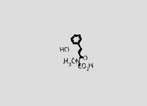 CN(C(=O)O)C(=O)C=Cc1ccccc1.Cl